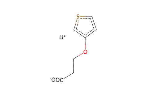 O=C([O-])CCOc1ccsc1.[Li+]